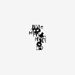 C=C1C(=O)C(N[C@H](CC)c2ccc3c(c2)OCO3)=C1Nc1cccc(C(=O)NC)c1O